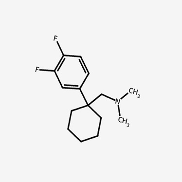 CN(C)CC1(c2ccc(F)c(F)c2)CCCCC1